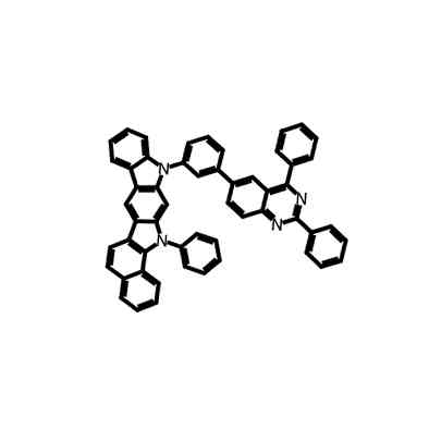 c1ccc(-c2nc(-c3ccccc3)c3cc(-c4cccc(-n5c6ccccc6c6cc7c8ccc9ccccc9c8n(-c8ccccc8)c7cc65)c4)ccc3n2)cc1